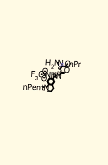 C=C(N=Nc1cc2c(cc1NS(=O)(=O)C(F)(F)F)N(CCCCC)CCC2)S/C(=N\N)C(=O)OCCC